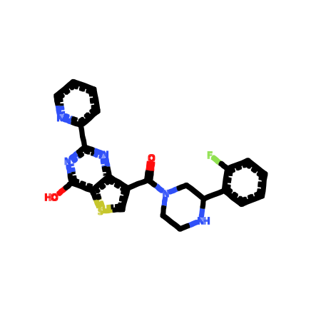 O=C(c1csc2c(O)nc(-c3ccccn3)nc12)N1CCNC(c2ccccc2F)C1